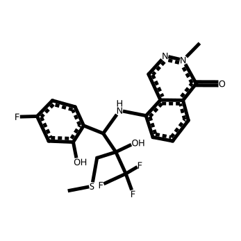 CSCC(O)(C(Nc1cccc2c(=O)n(C)ncc12)c1ccc(F)cc1O)C(F)(F)F